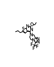 CCCc1cc2c(N3CCn4c(nnc4C(F)(F)F)C3)nc(OCC)nc2s1